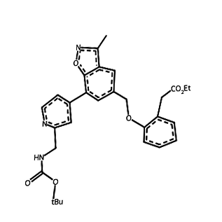 CCOC(=O)Cc1ccccc1OCc1cc(-c2ccnc(CNC(=O)OC(C)(C)C)c2)c2onc(C)c2c1